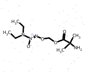 CCN(CC)/[N+]([O-])=N/OCOC(=O)C(C)(C)N